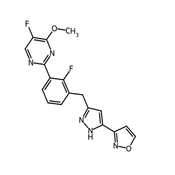 COc1nc(-c2cccc(Cc3cc(-c4ccon4)[nH]n3)c2F)ncc1F